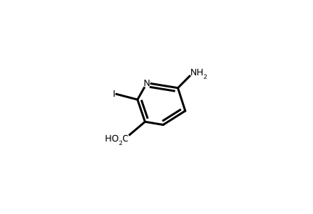 Nc1ccc(C(=O)O)c(I)n1